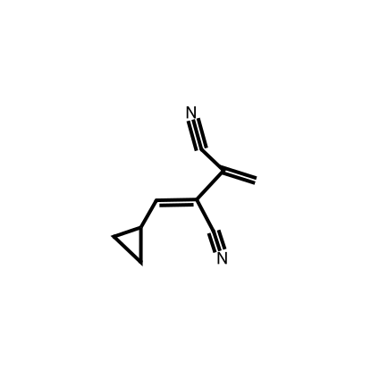 C=C(C#N)C(C#N)=CC1CC1